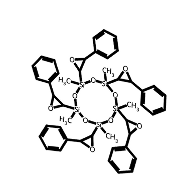 C[Si]1(C2OC2c2ccccc2)O[Si](C)(C2OC2c2ccccc2)O[Si](C)(C2OC2c2ccccc2)O[Si](C)(C2OC2c2ccccc2)O[Si](C)(C2OC2c2ccccc2)O1